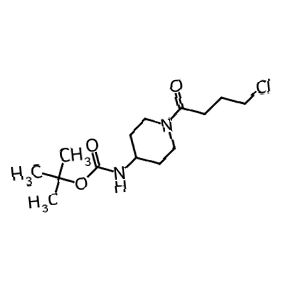 CC(C)(C)OC(=O)NC1CCN(C(=O)CCCCl)CC1